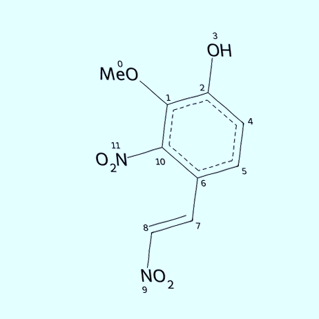 COc1c(O)ccc(C=C[N+](=O)[O-])c1[N+](=O)[O-]